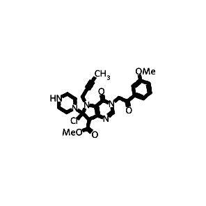 CC#CCN1c2c(ncn(CC(=O)c3cccc(OC)c3)c2=O)C(C(=O)OC)C1(Cl)N1CCNCC1